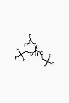 FP(F)N=[PH](OCC(F)(F)F)OCC(F)(F)F